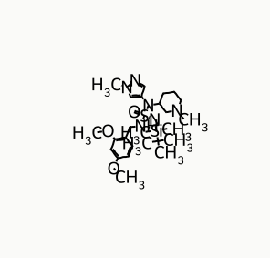 COc1ccc(CNS(=O)(=N[Si](C)(C)C(C)(C)C)N(c2cnn(C)c2)C2CCCN(C)C2)c(OC)c1